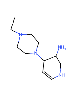 CCN1CCN(C2C=CNCC2N)CC1